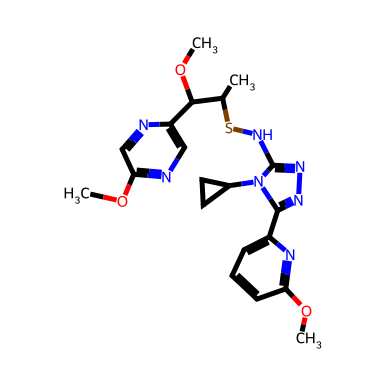 COc1cnc(C(OC)C(C)SNc2nnc(-c3cccc(OC)n3)n2C2CC2)cn1